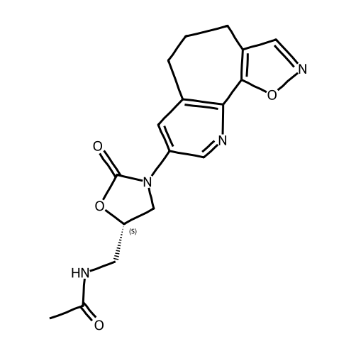 CC(=O)NC[C@H]1CN(c2cnc3c(c2)CCCc2cnoc2-3)C(=O)O1